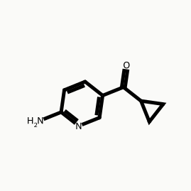 Nc1ccc(C(=O)C2CC2)cn1